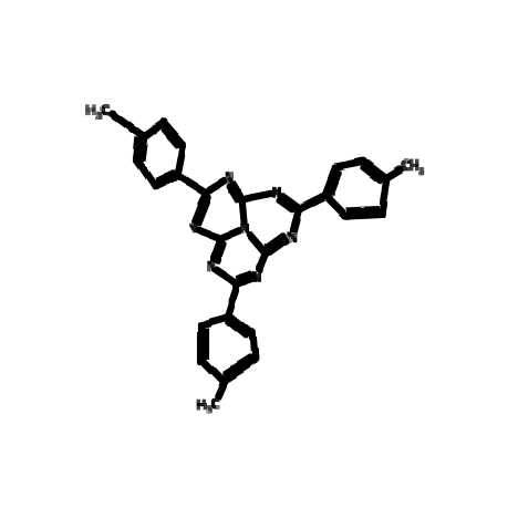 Cc1ccc(C2=NC3=NC(c4ccc(C)cc4)=NC4=NC(c5ccc(C)cc5)=NC(=N2)N34)cc1